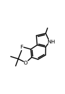 Cc1cc2c(F)c(OC(C)(C)C)ccc2[nH]1